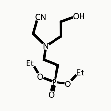 CCOP(=O)(CCN(CC#N)CCO)OCC